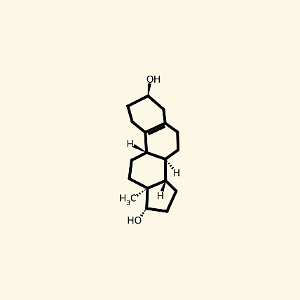 C[C@]12CC[C@@H]3C4=C(CC[C@H]3[C@@H]1CC[C@@H]2O)C[C@H](O)CC4